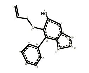 C=CCOc1c(O)cc2[nH]nnc2c1-c1ccccc1